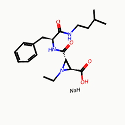 CCN1[C@H](C(=O)O)[C@H]1C(=O)N[C@@H](Cc1ccccc1)C(=O)NCCC(C)C.[NaH]